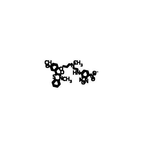 COc1ccc(OCCCN(C)CCNc2ccc([N+](=O)[O-])c3nonc23)c(C2Sc3ccccc3N(C)C2=O)c1